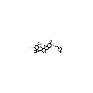 COc1cc(Nc2c(C#N)cnc3cc4cc(OCCN5CCN(C)CC5)c(OC)cc4nc23)c(Cl)cc1Cl